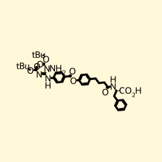 CC(C)(C)OC(=O)/N=C(/Nc1ccc(C(=O)Oc2ccc(CCCC(=O)N[C@@H](Cc3ccccc3)C(=O)O)cc2)cc1)N(N)C(=O)OC(C)(C)C